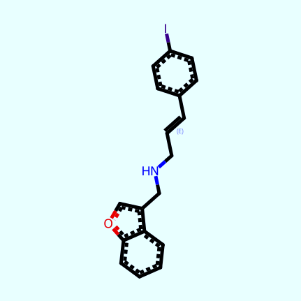 Ic1ccc(/C=C/CNCc2coc3ccccc23)cc1